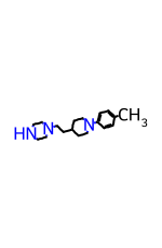 Cc1ccc(N2CCC(CCN3CCNCC3)CC2)cc1